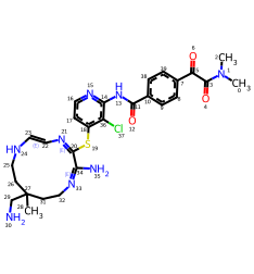 CN(C)C(=O)C(=O)c1ccc(C(=O)Nc2nccc(SC3=N/C=C/NCCC(C)(CN)CC/N=C\3N)c2Cl)cc1